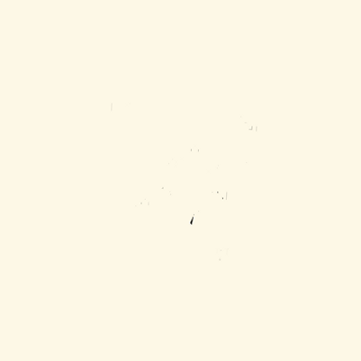 C=CCOC(=O)[C@H](CC(C)C)NC(=O)OC(C)(C)C